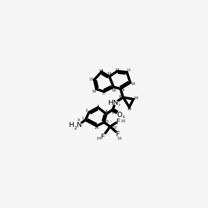 Nc1ccc(C(=O)NC2(c3cccc4ccccc34)CC2)c(C(F)(F)F)c1